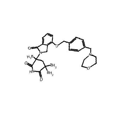 BC1(B)CC(B)(N2Cc3c(OCc4ccc(CN5CCOCC5)cc4)cccc3C2=O)C(=O)NC1=O